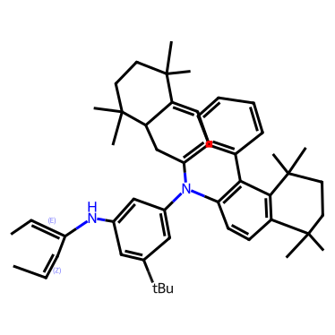 C/C=C\C(=C/C)Nc1cc(N(C2=CC=C3C(C2)C(C)(C)CCC3(C)C)c2ccc3c(c2-c2ccccc2)C(C)(C)CCC3(C)C)cc(C(C)(C)C)c1